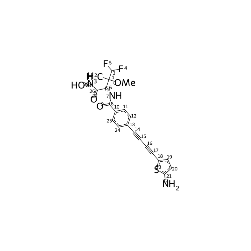 COC(C)(C(F)F)[C@H](NC(=O)c1ccc(C#CC#Cc2ccc(N)s2)cc1)C(=O)NO